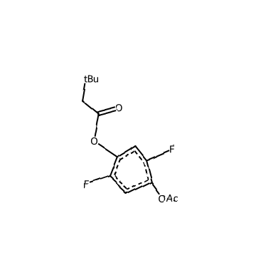 CC(=O)Oc1cc(F)c(OC(=O)CC(C)(C)C)cc1F